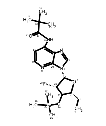 CC[C@H]1O[C@@H](n2cnc3c(NC(=O)C(C)(C)C)ccnc32)[C@@H](F)C1O[Si](C)(C)C